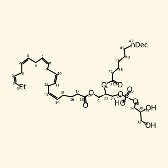 CC/C=C\C/C=C\C/C=C\C/C=C\C/C=C\CCCC(=O)OC[C@H](COP(=O)(O)OC[C@@H](O)CO)OC(=O)CCCCCCCCCCCCCCC